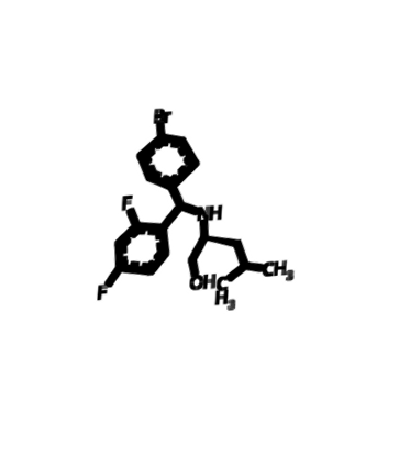 CC(C)C[C@@H](CO)NC(c1ccc(Br)cc1)c1ccc(F)cc1F